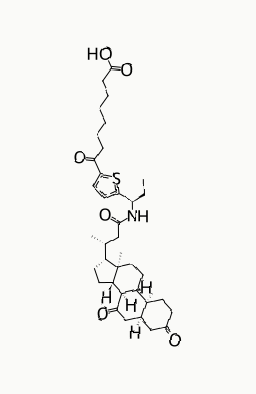 CC[C@@H](NC(=O)C[C@@H](C)[C@H]1CC[C@H]2[C@@H]3C(=O)C[C@@H]4CC(=O)CC[C@]4(C)[C@H]3CC[C@]12C)c1ccc(C(=O)CCCCCCC(=O)O)s1